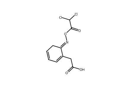 O=C(O)CC1=CC=CCC1=NOC(=O)C(Cl)Cl